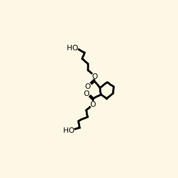 O=C(OCCCCO)C1CCCCC1C(=O)OCCCCO